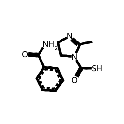 CC1=NCCN1C(=O)S.NC(=O)c1ccccc1